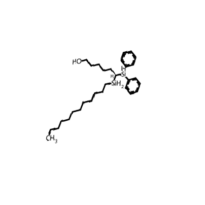 CCCCCCCCCCCC[SiH2][C@@H](CCCCCO)[SiH](c1ccccc1)c1ccccc1